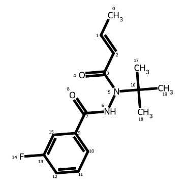 CC=CC(=O)N(NC(=O)c1cccc(F)c1)C(C)(C)C